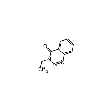 CCn1nnc2ccccc2c1=O